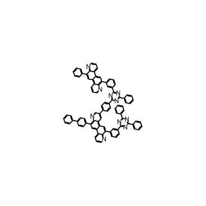 c1ccc(-c2ccc(-c3cc4c5cccnc5c(-c5cccc(-c6nc(-c7ccccc7)nc(-c7ccccc7)n6)c5)cc4c4cc(-c5ccc(-c6nc(-c7ccccc7)nc(-c7cccc(-c8cc9c%10cccnc%10c(-c%10ccccc%10)cc9c9cccnc89)c7)n6)cc5)cnc34)cc2)cc1